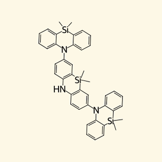 C[Si]1(C)c2cc(N3c4ccccc4[Si](C)(C)c4ccccc43)ccc2Nc2ccc(N3c4ccccc4[Si](C)(C)c4ccccc43)cc21